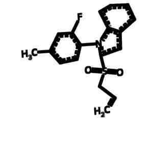 C=CCS(=O)(=O)c1cc2ccccc2n1-c1ccc(C)cc1F